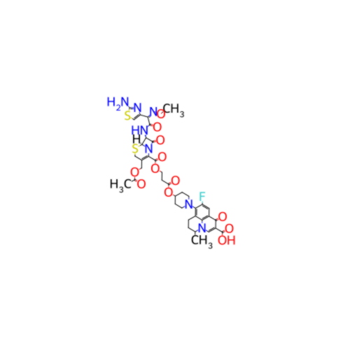 CO/N=C(\C(=O)N[C@H]1C(=O)N2C(C(=O)OCCC(=O)OC3CCN(c4c(F)cc5c(=O)c(C(=O)O)cn6c5c4CCC6C)CC3)=C(COC(C)=O)CS[C@@H]12)c1csc(N)n1